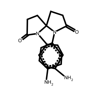 Nc1ccc(N2C(=O)CCC23CCC(=O)N3c2ccc(N)cc2)cc1